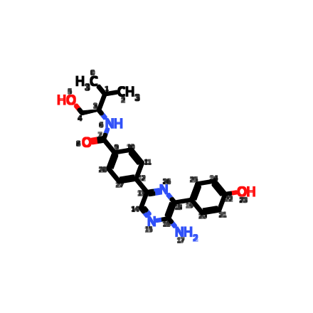 CC(C)[C@H](CO)NC(=O)c1ccc(-c2cnc(N)c(-c3ccc(O)cc3)n2)cc1